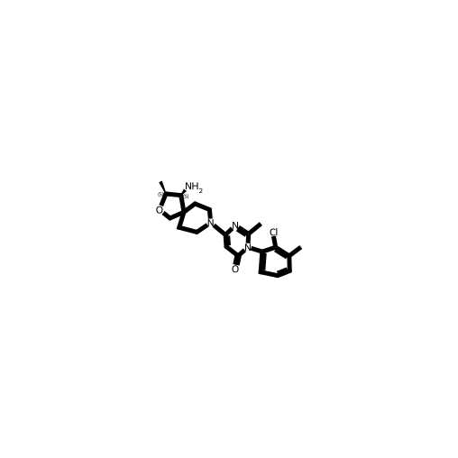 Cc1cccc(-n2c(C)nc(N3CCC4(CC3)CO[C@@H](C)[C@H]4N)cc2=O)c1Cl